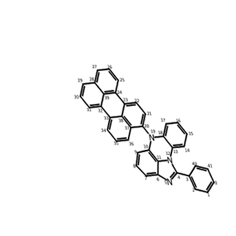 c1ccc(-c2nc3cccc4c3n2-c2ccccc2N4c2ccc3c4cccc5cccc(c6cccc2c63)c54)cc1